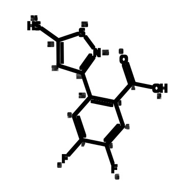 O=C(O)c1cc(F)c(F)cc1-c1cc(S)sn1